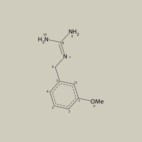 COc1cccc(CN=C(N)N)c1